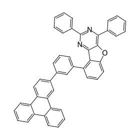 c1ccc(-c2nc(-c3ccccc3)c3oc4cccc(-c5cccc(-c6ccc7c8ccccc8c8ccccc8c7c6)c5)c4c3n2)cc1